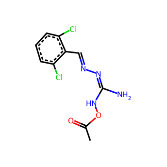 CC(=O)ONC(N)=NN=Cc1c(Cl)cccc1Cl